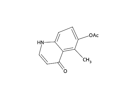 CC(=O)Oc1ccc2[nH]ccc(=O)c2c1C